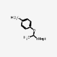 CCCCCCCC(C)Oc1ccc(C(=O)O)cc1